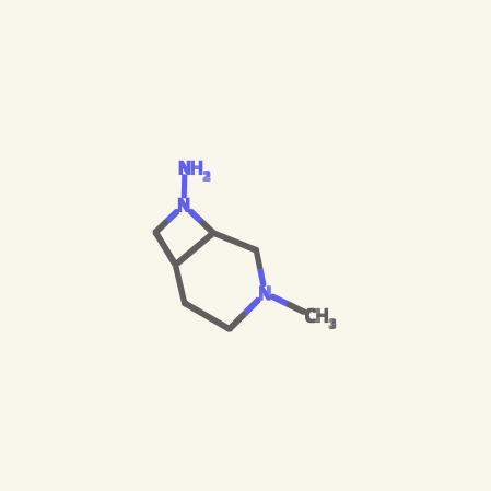 CN1CCC2CN(N)C2C1